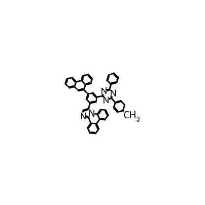 CC1C=CC(c2nc(-c3ccccc3)nc(-c3cc(-c4cc5ccccc5c5ccccc45)cc(-c4cnc5c6ccccc6c6ccccc6n45)c3)n2)=CC1